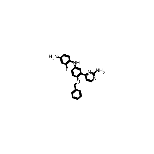 Nc1ccc(Nc2ccc(OCc3ccccc3)c(-c3ccnc(N)n3)c2)c(F)c1